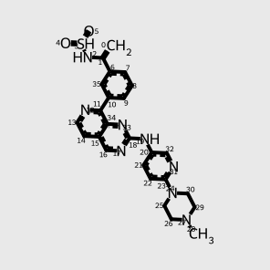 C=C(N[SH](=O)=O)c1cccc(-c2nccc3cnc(Nc4ccc(N5CCN(C)CC5)nc4)nc23)c1